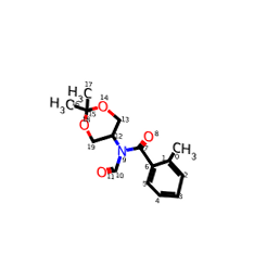 Cc1ccccc1C(=O)N(C=O)C1COC(C)(C)OC1